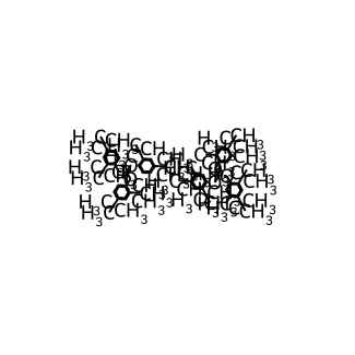 CC(C)(C)c1ccc(OP(Oc2ccc(C(C)(C)C)cc2C(C)(C)C)Oc2ccc(C(C)(C)C)cc2C(C)(C)C)c(C(C)(C)C)c1.Cc1cc(OP(Oc2cc(C)c(C(C)(C)C)cc2C(C)(C)C)Oc2cc(C)c(C(C)(C)C)cc2C(C)(C)C)c(C(C)(C)C)cc1C(C)(C)C